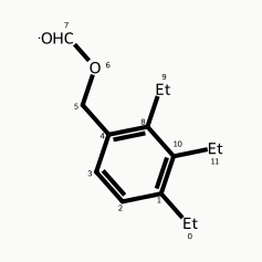 CCc1ccc(CO[C]=O)c(CC)c1CC